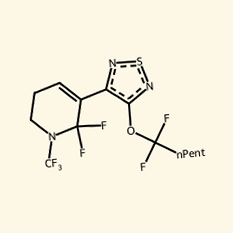 CCCCCC(F)(F)Oc1nsnc1C1=CCCN(C(F)(F)F)C1(F)F